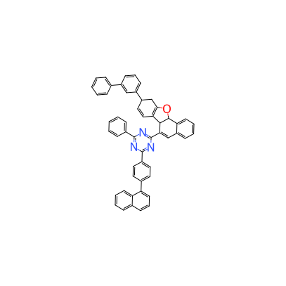 C1=CC(c2cccc(-c3ccccc3)c2)CC2=C1C1C(c3nc(-c4ccccc4)nc(-c4ccc(-c5cccc6ccccc56)cc4)n3)=Cc3ccccc3C1O2